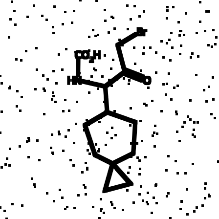 O=C(O)NC(C(=O)CBr)C1CCC2(CC1)CC2